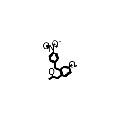 COc1ccc2c(c1)C(c1ccc([N+](=O)[O-])cc1)OC(C)C2